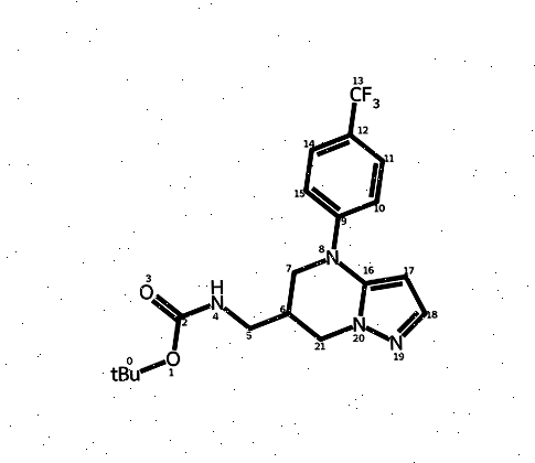 CC(C)(C)OC(=O)NCC1CN(c2ccc(C(F)(F)F)cc2)c2ccnn2C1